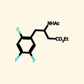 CCOC(=O)CC(Cc1cc(F)c(F)cc1F)NC(C)=O